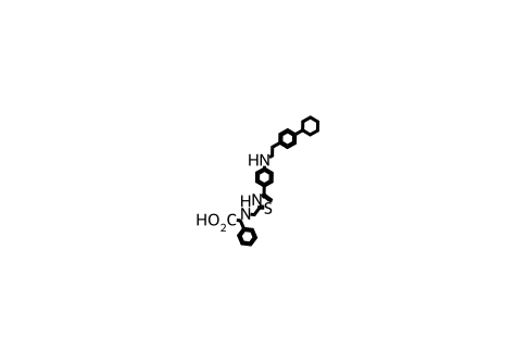 O=C(O)C(NCc1nc(-c2ccc(NCCc3ccc(C4CCCCC4)cc3)cc2)cs1)c1ccccc1